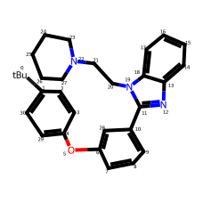 CC(C)(C)c1ccc(Oc2cccc(-c3nc4ccccc4n3CCN3CCCCC3)c2)cc1